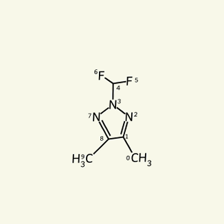 Cc1nn(C(F)F)nc1C